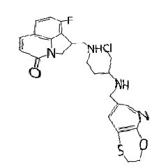 Cl.O=c1ccc2ccc(F)c3c2n1CC3CN1CCC(NCc2cnc3c(c2)SCCO3)CC1